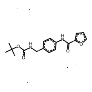 CC(C)(C)OC(=O)NCc1ccc(NC(=O)c2ccco2)cc1